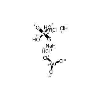 Cl.Cl.Cl.O=S(O)(O)=S.[Cl][Au]([Cl])[Cl].[NaH]